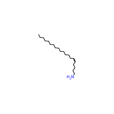 CCCCCCCCCCCCCC/C=C\CCCCN